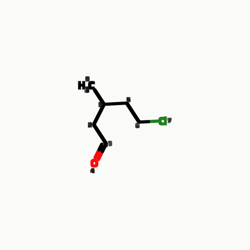 CC(C[C]=O)CCCl